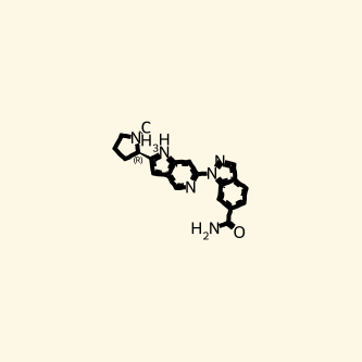 CN1CCC[C@@H]1c1cc2cnc(-n3ncc4ccc(C(N)=O)cc43)cc2[nH]1